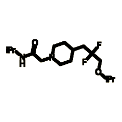 CC(C)NC(=O)CN1CCC(CC(F)(F)COC(C)C)CC1